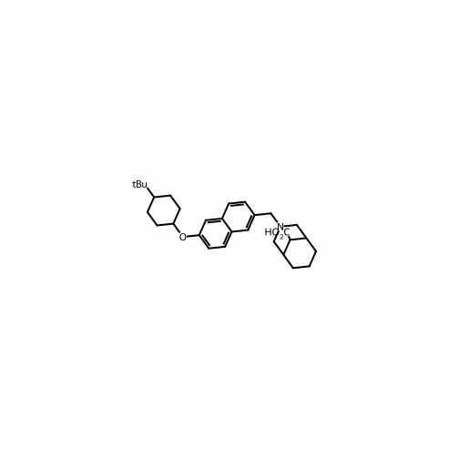 CC(C)(C)C1CCC(Oc2ccc3cc(CN4CC5CCCC(C4)C5C(=O)O)ccc3c2)CC1